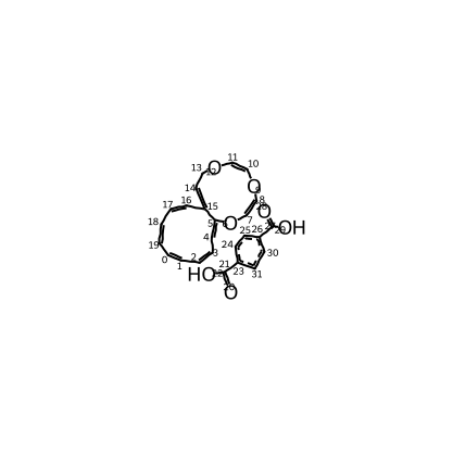 C1=C\C=C/C=C2\O/C=C\O/C=C\OC/C=C2/C=C\C=C/1.O=C(O)c1ccc(C(=O)O)cc1